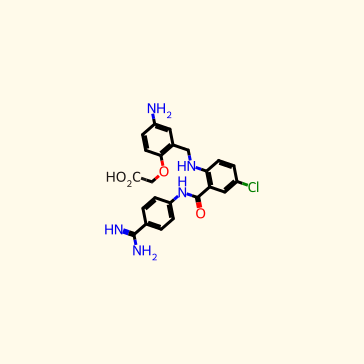 N=C(N)c1ccc(NC(=O)c2cc(Cl)ccc2NCc2cc(N)ccc2OCC(=O)O)cc1